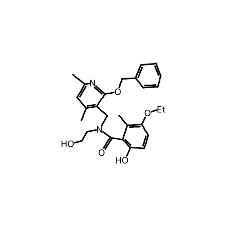 CCOc1ccc(O)c(C(=O)N(CCO)Cc2c(C)cc(C)nc2OCc2ccccc2)c1C